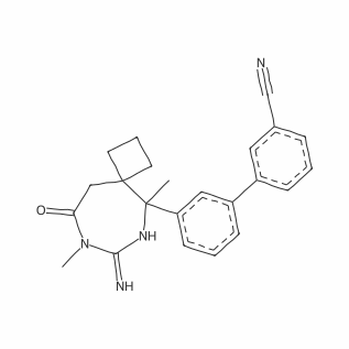 CN1C(=N)NC(C)(c2cccc(-c3cccc(C#N)c3)c2)C2(CCC2)CC1=O